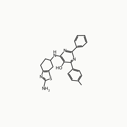 Cc1ccc(-c2nc(-c3ccccc3)nc(NC3CCc4nc(N)sc4C3)c2O)cc1